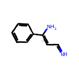 N=C/C=C(\N)c1ccccc1